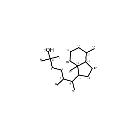 CC(CCC(C)(C)O)C(C)C1CCC2C(C)CCCC21C